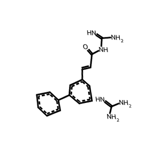 N=C(N)N.N=C(N)NC(=O)C=Cc1cccc(-c2ccccc2)c1